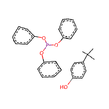 CC(C)(C)c1ccc(O)cc1.c1ccc(OP(Oc2ccccc2)Oc2ccccc2)cc1